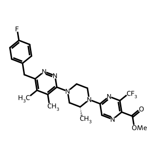 COC(=O)c1ncc(N2CCN(c3nnc(Cc4ccc(F)cc4)c(C)c3C)C[C@H]2C)nc1C(F)(F)F